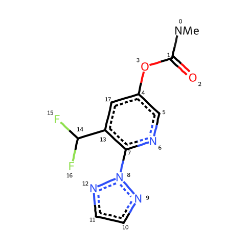 CNC(=O)Oc1cnc(-n2nccn2)c(C(F)F)c1